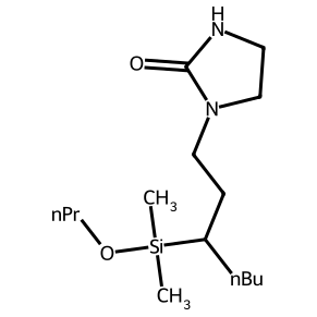 CCCCC(CCN1CCNC1=O)[Si](C)(C)OCCC